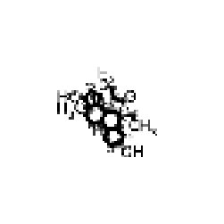 CCCC(=O)OCC.C[C@]12CC[C@@H]3c4ccc(O)cc4CC[C@H]3[C@@H]1CC[C@@H]2O